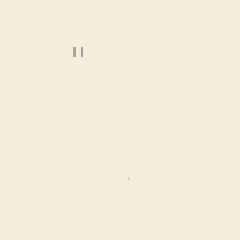 Cc1ccc(OC(C)C)cc1C#N